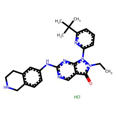 CCn1c(=O)c2cnc(Nc3ccc4c(c3)CCNC4)nc2n1-c1cccc(C(C)(C)C)n1.Cl